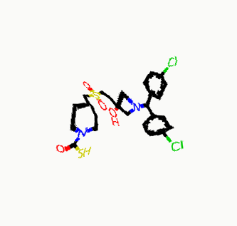 O=C(S)N1CC=C(CS(=O)(=O)CC2(O)CN(C(c3ccc(Cl)cc3)c3ccc(Cl)cc3)C2)CC1